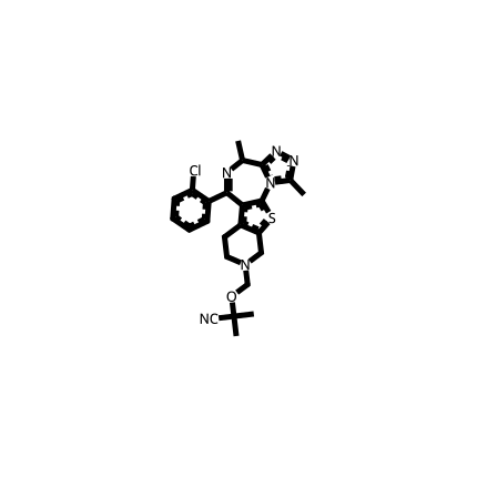 Cc1nnc2n1-c1sc3c(c1C(c1ccccc1Cl)=NC2C)CCN(COC(C)(C)C#N)C3